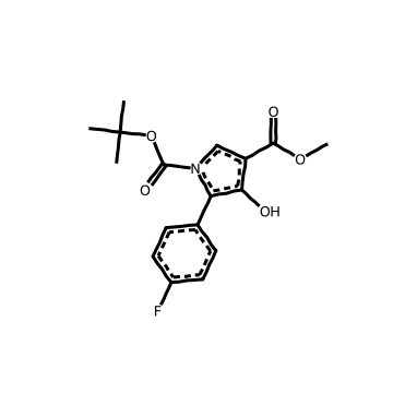 COC(=O)c1cn(C(=O)OC(C)(C)C)c(-c2ccc(F)cc2)c1O